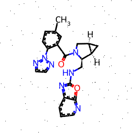 Cc1ccc(-n2nccn2)c(C(=O)N2C[C@H]3C[C@H]3[C@H]2CNc2nc3cccnc3o2)c1